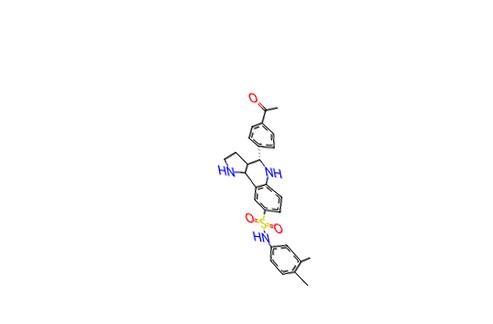 CC(=O)c1ccc([C@@H]2Nc3ccc(S(=O)(=O)Nc4ccc(C)c(C)c4)cc3C3NCCC32)cc1